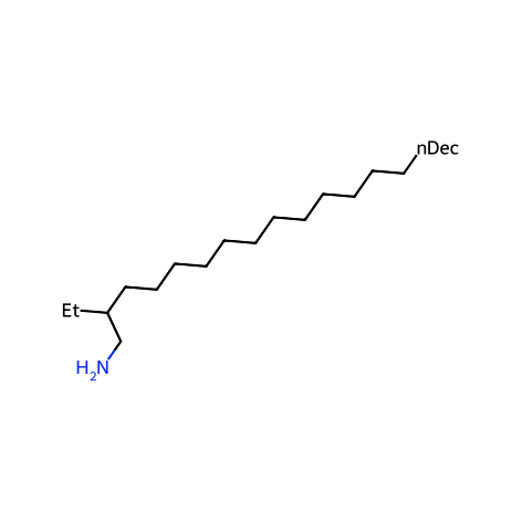 CCCCCCCCCCCCCCCCCCCCCCC(CC)CN